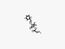 CC1(C)[C@H](OC(N)=O)C(=O)N1OCc1ccccc1